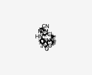 Cn1c(=O)c2c(c3cc(Nc4cc(Cl)nc5c(C#N)cnn45)ccc31)N[C@@H](C1CC1)C(F)(F)CO2